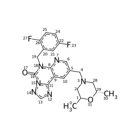 CC1CN(Cc2cnc3c(c2)c2ncnn2c(=O)n3Cc2cc(F)ccc2F)C[C@H](C)O1